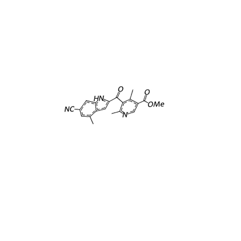 COC(=O)c1cnc(C)c(C(=O)c2cc3c(C)cc(C#N)cc3[nH]2)c1C